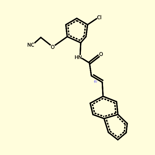 N#CCOc1ccc(Cl)cc1NC(=O)/C=C/c1ccc2ccccc2c1